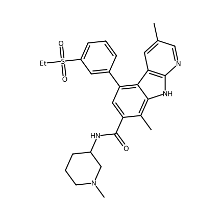 CCS(=O)(=O)c1cccc(-c2cc(C(=O)NC3CCCN(C)C3)c(C)c3[nH]c4ncc(C)cc4c23)c1